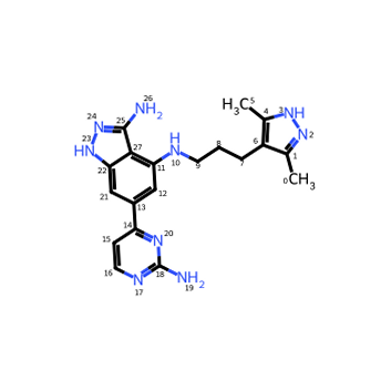 Cc1n[nH]c(C)c1CCCNc1cc(-c2ccnc(N)n2)cc2[nH]nc(N)c12